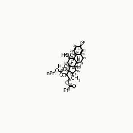 CCCOC(=O)O[C@]1(C(=O)COC(=O)CC)[C@H](C)C[C@H]2[C@@H]3CCC4=CC(=O)C=C[C@]4(C)[C@@]3(F)[C@@H](O)C[C@@]21C